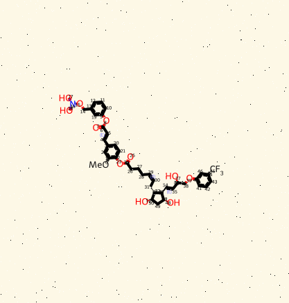 COc1cc(/C=C/C(=O)Oc2cccc(CON(O)O)c2)ccc1OC(=O)CCC/C=C\C[C@@H]1[C@@H](/C=C/[C@@H](O)COc2cccc(C(F)(F)F)c2)[C@H](O)C[C@@H]1O